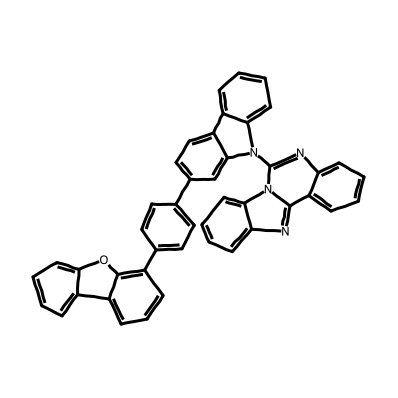 c1ccc2c(c1)nc(-n1c3ccccc3c3ccc(-c4ccc(-c5cccc6c5oc5ccccc56)cc4)cc31)n1c3ccccc3nc21